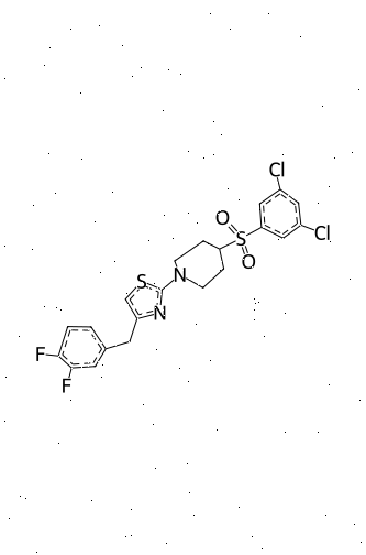 O=S(=O)(c1cc(Cl)cc(Cl)c1)C1CCN(c2nc(Cc3ccc(F)c(F)c3)cs2)CC1